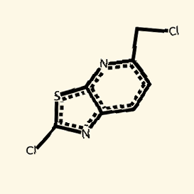 ClCc1ccc2nc(Cl)sc2n1